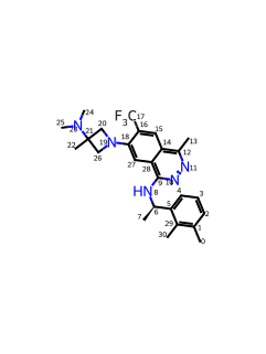 Cc1cccc([C@@H](C)Nc2nnc(C)c3cc(C(F)(F)F)c(N4CC(C)(N(C)C)C4)cc23)c1C